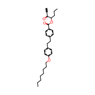 C#CC(=O)C(CCC)OC(=O)c1ccc(CCc2ccc(OCCCCCCCC)cc2)cc1